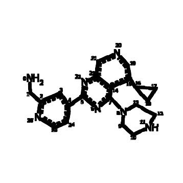 NCc1cc(-c2nc(N3CCNCC3)c3c(C4CC4)cncc3n2)ccn1